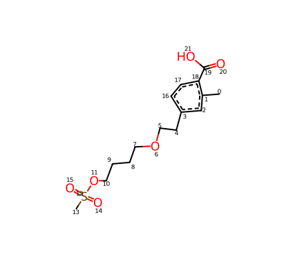 Cc1cc(CCOCCCCOS(C)(=O)=O)ccc1C(=O)O